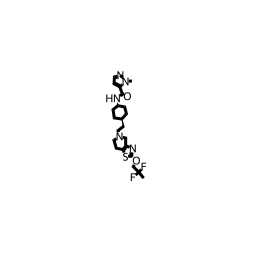 Cn1nccc1C(=O)N[C@H]1CC[C@H](CCN2CCc3sc(OCC(C)(F)F)nc3C2)CC1